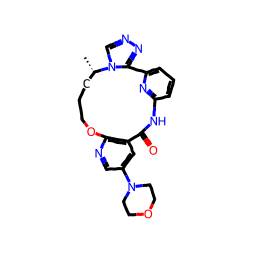 C[C@H]1CCCOc2ncc(N3CCOCC3)cc2C(=O)Nc2cccc(n2)-c2nncn21